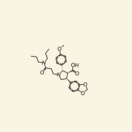 CCCN(CCC)C(=O)CCN1C[C@H](c2ccc3c(c2)OCO3)[C@H](C(=O)O)[C@H]1c1ccc(OC)cc1